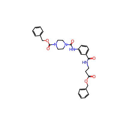 O=C(CCNC(=O)c1cccc(NC(=O)N2CCN(C(=O)OCc3ccccc3)CC2)c1)OCc1ccccc1